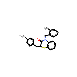 O=C(O)c1ccc(CC2Sc3ccccc3N(Cc3ccccc3C(F)(F)F)C2=O)cc1